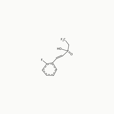 O=P(O)(C=Cc1ccccc1F)CC(F)(F)F